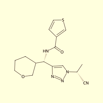 C[C@H](C#N)n1cc([C@@H](NC(=O)c2ccsc2)C2CCCOC2)nn1